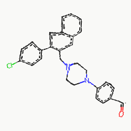 O=[C]c1ccc(N2CCN(Cc3cc4ccccc4cc3-c3ccc(Cl)cc3)CC2)cc1